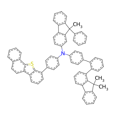 CC1(C)c2ccccc2-c2cccc(-c3ccccc3-c3ccc(N(c4ccc(-c5cccc6c5sc5c7ccccc7ccc65)cc4)c4ccc5c(c4)C(C)(c4ccccc4)c4ccccc4-5)cc3)c21